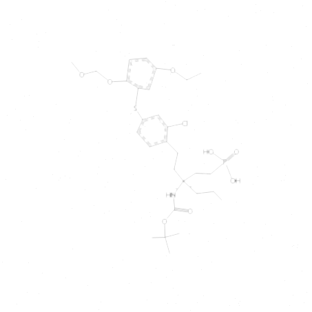 CCCC(CCc1ccc(Sc2cc(OCC)ccc2OCOC)cc1Cl)(CCP(=O)(O)O)NC(=O)OC(C)(C)C